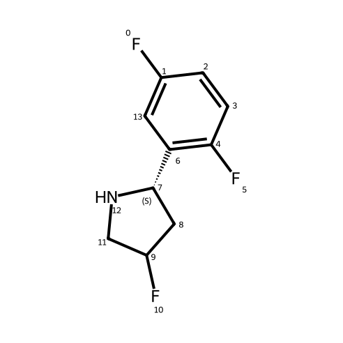 Fc1ccc(F)c([C@@H]2CC(F)CN2)c1